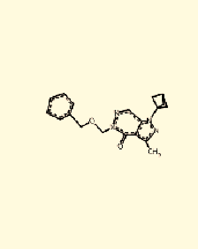 Cc1nn(C23CC(C2)C3)c2cnn(COCc3ccccc3)c(=O)c12